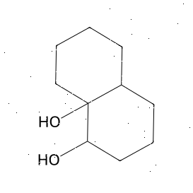 OC1CCCC2CCCCC12O